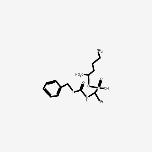 CC(C)C(NC(=O)OCc1ccccc1)P(=O)(O)OC(CCCN)C(=O)O